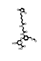 O=COCc1ccc(OC2CC(O)CC(C(=O)O)O2)c(NC(=O)CCNC(=O)CCCCCN2C(=O)C=CC2=O)c1